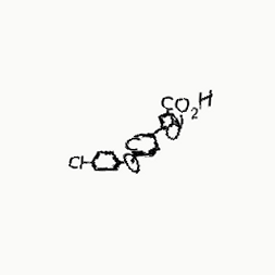 O=C(O)c1cc(-c2ccc(Oc3ccc(Cl)cc3)cc2)on1